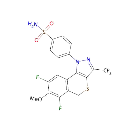 COc1c(F)cc2c(c1F)CSc1c(C(F)(F)F)nn(-c3ccc(S(N)(=O)=O)cc3)c1-2